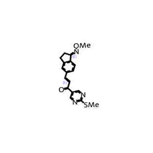 CO/N=C1\CCc2cc(/C=C/C(=O)c3cnc(SC)nc3)ccc21